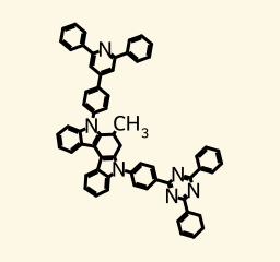 CC1Cc2c(c3ccccc3n2-c2ccc(-c3nc(C4=CC=CCC4)nc(-c4ccccc4)n3)cc2)-c2c1n(-c1ccc(-c3cc(-c4ccccc4)nc(-c4ccccc4)c3)cc1)c1ccccc21